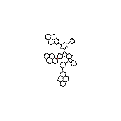 c1ccc(C2CC(c3cc4c5c(c3)CCc3cccc(c3-5)CC4)=NC(n3c4ccccc4c4c3ccc3c5ccccc5n(-c5nc(-c6cc7ccc8cccc9ccc(c6)c7c89)cc(-c6cc7ccc8cccc9ccc(c6)c7c89)n5)c34)=N2)cc1